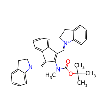 CN(C(=O)OC(C)(C)C)C1=C(/C=[N+]2\CCc3ccccc32)c2ccccc2/C1=C\N1CCc2ccccc21